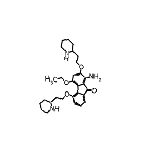 CCOc1cc(OCCC2CCCCN2)c(N)c2c1-c1c(OCCC3CCCCN3)cccc1C2=O